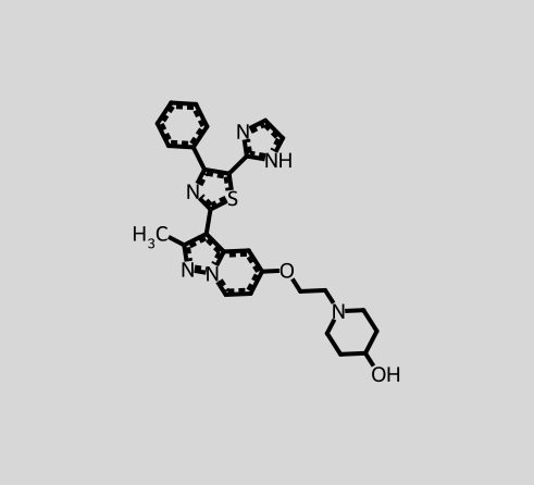 Cc1nn2ccc(OCCN3CCC(O)CC3)cc2c1-c1nc(-c2ccccc2)c(-c2ncc[nH]2)s1